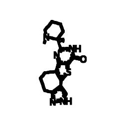 CN1CCCC[C@H]1c1nc2c3c(sc2c(=O)[nH]1)-c1c[nH]nc1CCC3